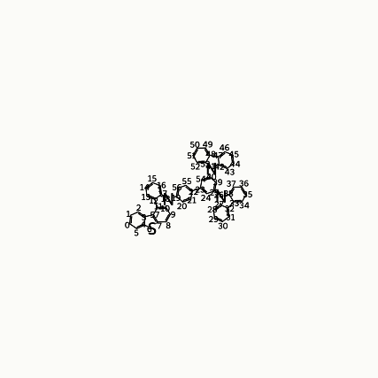 c1ccc2c(c1)sc1ccc3c(c4ccccc4n3-c3ccc(-c4cc(-n5c6ccccc6c6ccccc65)cc(-n5c6ccccc6c6ccccc65)c4)cc3)c12